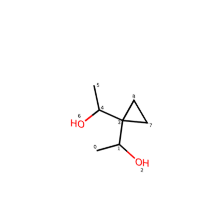 CC(O)C1(C(C)O)CC1